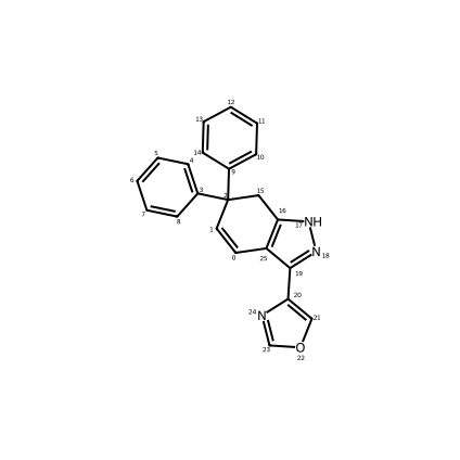 C1=CC(c2ccccc2)(c2ccccc2)Cc2[nH]nc(-c3cocn3)c21